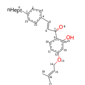 CCCCCCCc1ccc(C=CC(=O)c2ccc(OCC=C(C)C)cc2O)cc1